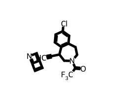 C#CC1CN(C(=O)C(F)(F)F)CCc2cc(Cl)ccc21.c1cc2ncc1-2